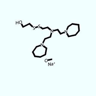 C[O-].OCCSSCCN(CCN1CCCCCC1)CCN1CCCCCC1.[Na+]